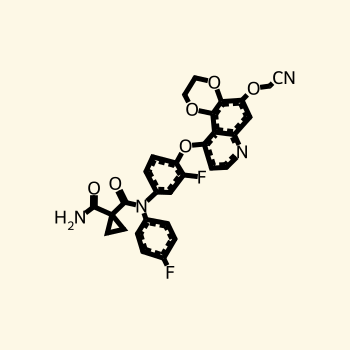 N#CCOc1cc2nccc(Oc3ccc(N(C(=O)C4(C(N)=O)CC4)c4ccc(F)cc4)cc3F)c2c2c1OCCO2